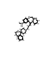 CNc1ccc2c(c1)C(=CCCN1CCC3(CC1)OCCc1ccccc13)C1C=CC=NC1CO2